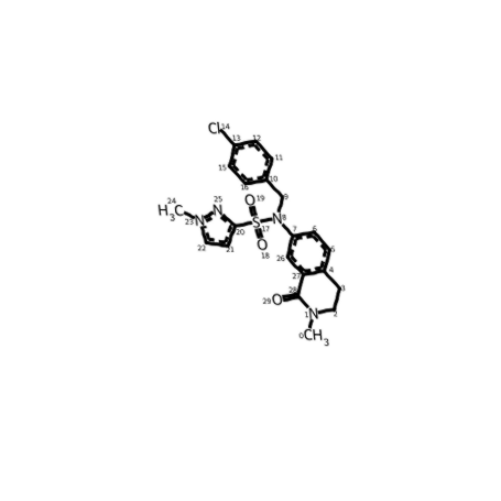 CN1CCc2ccc(N(Cc3ccc(Cl)cc3)S(=O)(=O)c3ccn(C)n3)cc2C1=O